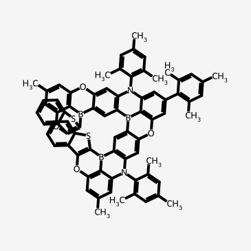 Cc1cc(C)c(-c2cc3c4c(c2)N(c2c(C)cc(C)cc2C)c2cc5c(cc2B4c2cc4c(cc2O3)N(c2c(C)cc(C)cc2C)c2cc(C)cc3c2B4c2sc4ccccc4c2O3)B2c3sc4ccccc4c3Oc3cc(C)cc(c32)O5)c(C)c1